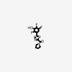 O=C(c1noc(-c2cc(F)c(F)c(O)c2F)n1)N1CCCC1